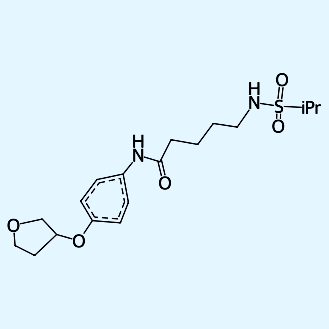 CC(C)S(=O)(=O)NCCCCC(=O)Nc1ccc(OC2CCOC2)cc1